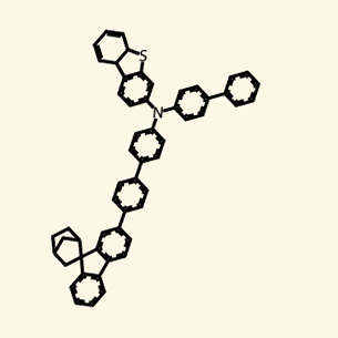 C1=CC2Sc3cc(N(c4ccc(-c5ccccc5)cc4)c4ccc(-c5ccc(-c6ccc7c(c6)C6(CC8CCC6C8)c6ccccc6-7)cc5)cc4)ccc3C2C=C1